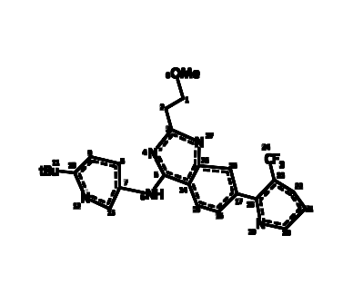 COCCc1nc(Nc2ccc(C(C)(C)C)nc2)c2ccc(-c3ncccc3C(F)(F)F)cc2n1